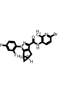 Cc1nc(Br)ccc1NC(=O)c1nn(-c2ccc(F)cc2F)c2c1C[C@H]1C[C@@H]21